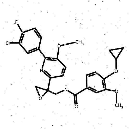 COc1cc(C(=O)NCC2(c3ccc(OC)c(-c4ccc(F)c(Cl)c4)n3)CO2)ccc1OC1CC1